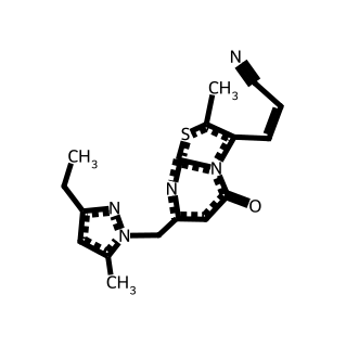 CCc1cc(C)n(Cc2cc(=O)n3c(/C=C\C#N)c(C)sc3n2)n1